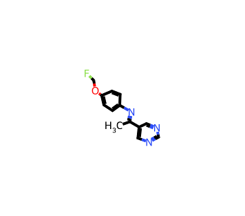 C/C(=N\c1ccc(OCF)cc1)c1cncnc1